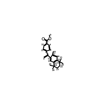 C=C(c1ccc(C(=O)OC)cc1)c1cc2c(cc1C)C(C)(C)CCC2(C)C